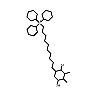 CC1C(O)CC(CCCCCCCCCC[PH](C2CCCCC2)(C2CCCCC2)C2CCCCC2)C(O)C1C